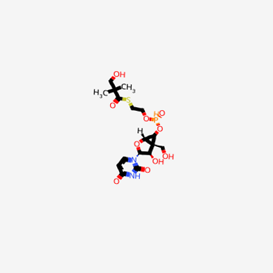 CC(C)(CO)C(=O)SCCO[PH](=O)OC1[C@H]2O[C@@H](n3ccc(=O)[nH]c3=O)[C@H](O)[C@@]12CO